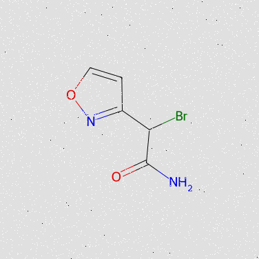 NC(=O)C(Br)c1ccon1